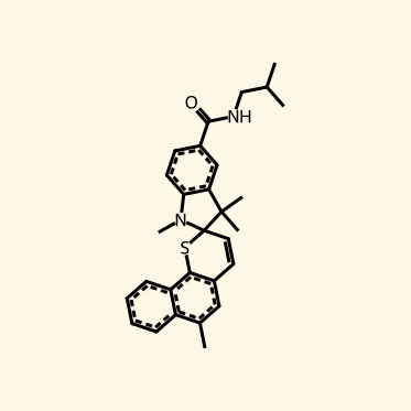 Cc1cc2c(c3ccccc13)SC1(C=C2)N(C)c2ccc(C(=O)NCC(C)C)cc2C1(C)C